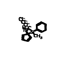 C[Si](C)(c1ccccc1)[C]1([Ti+3])C=CC=C1.[Cl-].[Cl-].[Cl-]